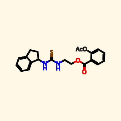 CC(=O)Oc1ccccc1C(=O)OCCNC(=S)NC1CCc2ccccc21